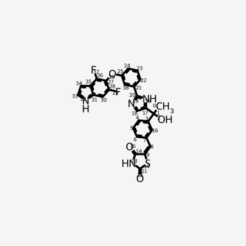 CC(O)(c1cccc(C=C2SC(=O)NC2=O)c1)c1cnc(-c2cccc(Oc3c(F)cc4[nH]ccc4c3F)c2)[nH]1